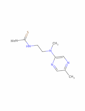 CNC(=S)NCCN(C)c1cnc(C)cn1